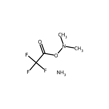 CN(C)OC(=O)C(F)(F)F.N